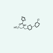 O=C(O)CC(Cc1ccc(-c2cccc(Cl)c2)cc1)NC(=O)c1cnco1